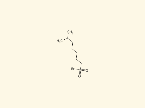 CC(C)CCCCCS(=O)(=O)Br